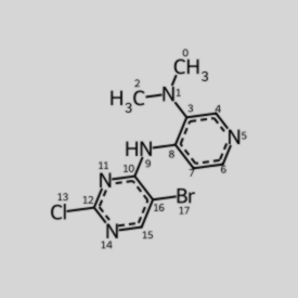 CN(C)c1cnccc1Nc1nc(Cl)ncc1Br